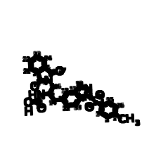 Cc1ccc(S(=O)(=O)n2ncc3cc(CC(CN4C(=O)c5ccccc5C4=O)NC(=O)O)ccc32)cc1